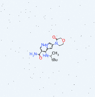 CC(Nc1c(C(N)=O)cnn2cc(N3CCOCC3=O)cc12)C(C)(C)C